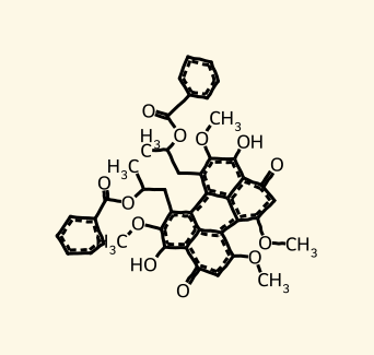 COc1c(O)c2c(=O)cc(OC)c3c4c(OC)cc(=O)c5c(O)c(OC)c(CC(C)OC(=O)c6ccccc6)c(c(c1CC(C)OC(=O)c1ccccc1)c23)c54